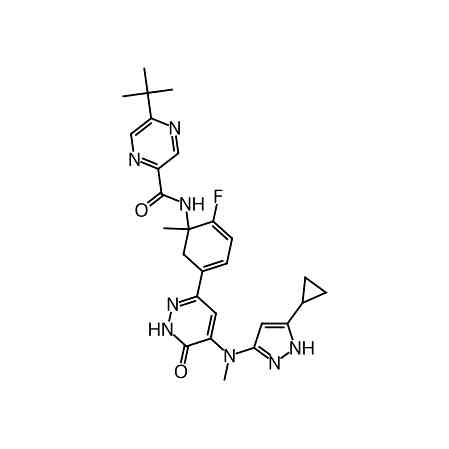 CN(c1cc(C2CC2)[nH]n1)c1cc(C2=CC=C(F)C(C)(NC(=O)c3cnc(C(C)(C)C)cn3)C2)n[nH]c1=O